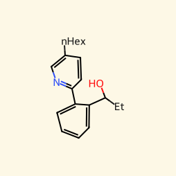 CCCCCCc1ccc(-c2ccccc2C(O)CC)nc1